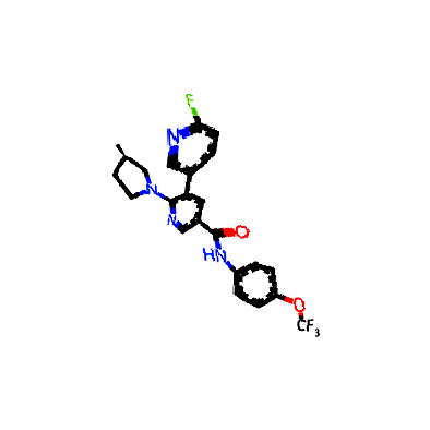 C[C@@H]1CCN(c2ncc(C(=O)Nc3ccc(OC(F)(F)F)cc3)cc2-c2ccc(F)nc2)C1